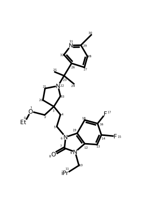 CCOCC1(CCn2c(=O)n(CC(C)C)c3cc(F)c(F)cc32)CCN(C(C)(C)c2ccc(C)nc2)C1